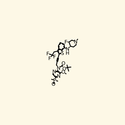 COc1nc(P(C)(C)=O)cnc1N(CC#Cc1sc2c(N[C@@H]3CCN(C)C[C@@H]3F)cccc2c1CC(F)(F)F)C(=O)OC(C)(C)C